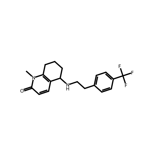 Cn1c2c(ccc1=O)C(NCCc1ccc(C(F)(F)F)cc1)CCC2